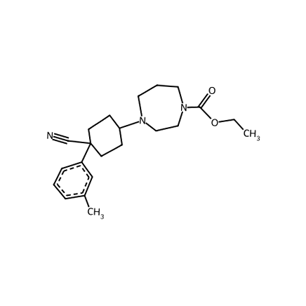 CCOC(=O)N1CCCN(C2CCC(C#N)(c3cccc(C)c3)CC2)CC1